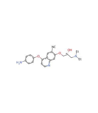 [C-]#[N+]c1cc2c(Oc3ccc(N)cc3)ccnc2cc1OC[C@H](O)CN(CC)CC